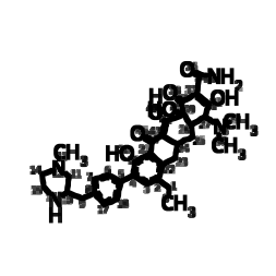 CCc1cc(-c2ccc(CC3CN(C)CCN3)cc2)c(O)c2c1CC1CC3C(N(C)C)C(O)=C(C(N)=O)C(=O)C3(O)C(O)=C1C2=O